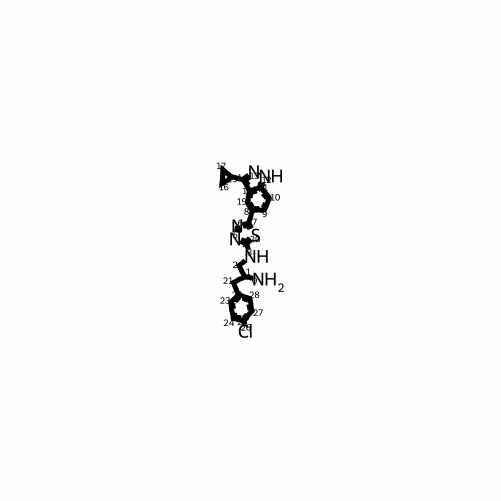 NC(CNc1nnc(-c2ccc3[nH]nc(C4CC4)c3c2)s1)Cc1ccc(Cl)cc1